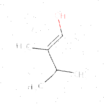 C/C(=C\O)C(C)C